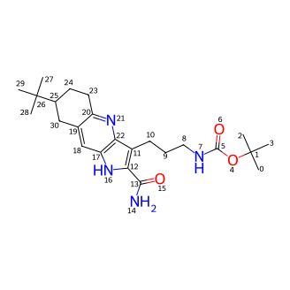 CC(C)(C)OC(=O)NCCCc1c(C(N)=O)[nH]c2cc3c(nc12)CCC(C(C)(C)C)C3